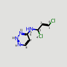 ClC=CC(Cl)Nc1ccnnn1